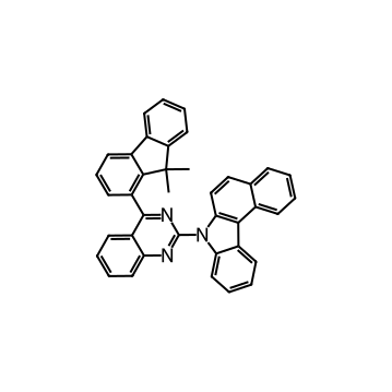 CC1(C)c2ccccc2-c2cccc(-c3nc(-n4c5ccccc5c5c6ccccc6ccc54)nc4ccccc34)c21